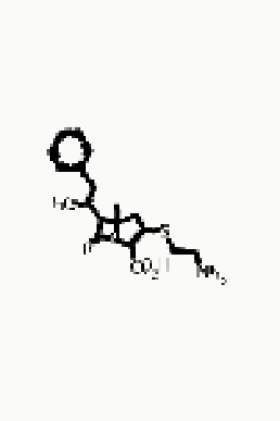 CC12CC(SCCN)=C(C(=O)O)N1C(=O)C2C(O)Cc1ccccc1